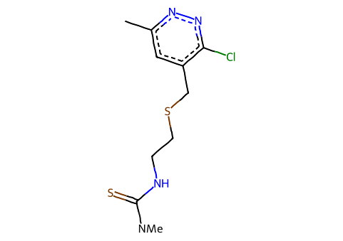 CNC(=S)NCCSCc1cc(C)nnc1Cl